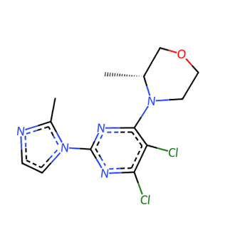 Cc1nccn1-c1nc(Cl)c(Cl)c(N2CCOC[C@H]2C)n1